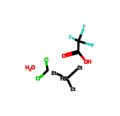 CC[SiH](CC)CC.ClCCl.O.O=C(O)C(F)(F)F